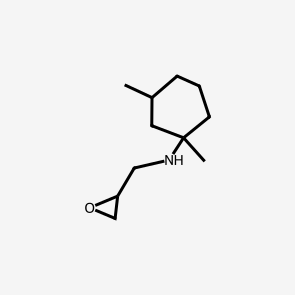 CC1CCCC(C)(NCC2CO2)C1